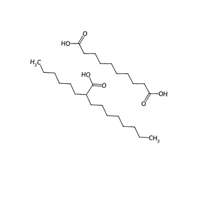 CCCCCCCCC(CCCCCC)C(=O)O.O=C(O)CCCCCCCCC(=O)O